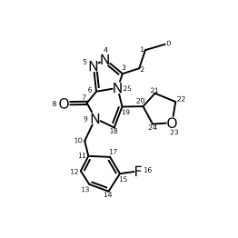 CCCc1nnc2c(=O)n(Cc3cccc(F)c3)cc(C3CCOC3)n12